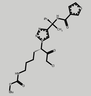 CC(C)[C@](C)(NC(=O)c1ccsc1)c1cn([C@@H](CCCCNC(=O)OC(C)(C)C)C(=O)CCl)nn1